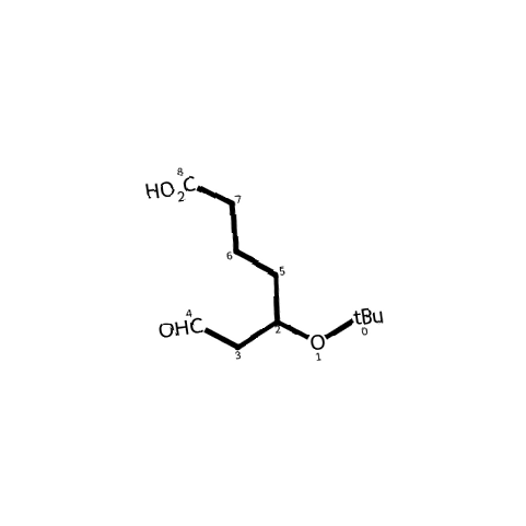 CC(C)(C)OC(CC=O)CCCC(=O)O